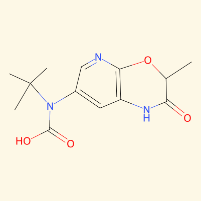 CC1Oc2ncc(N(C(=O)O)C(C)(C)C)cc2NC1=O